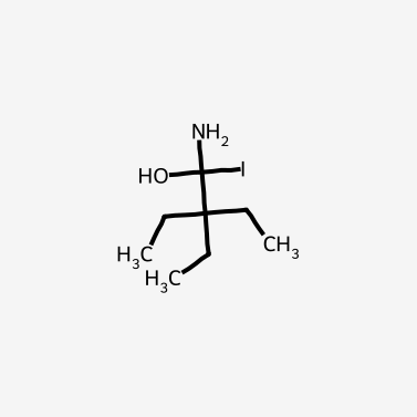 CCC(CC)(CC)C(N)(O)I